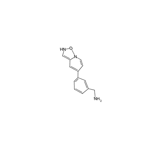 NCc1cccc(C2=CC3=CNON3C=C2)c1